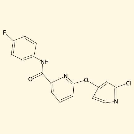 O=C(Nc1ccc(F)cc1)c1cccc(Oc2ccnc(Cl)c2)n1